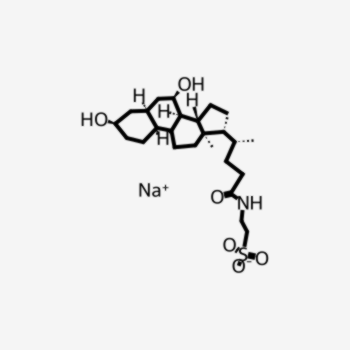 C[C@H](CCC(=O)NCCS(=O)(=O)[O-])[C@H]1CC[C@H]2[C@@H]3[C@H](O)C[C@@H]4C[C@H](O)CC[C@]4(C)[C@H]3CC[C@]12C.[Na+]